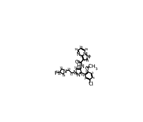 COc1ccc(Cl)cc1-c1nn(CCN2CC(F)C2)cc1NC(=O)c1cnn2cccnc12